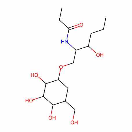 CCCC(O)C(COC1CC(CO)C(O)C(O)C1O)NC(=O)CC